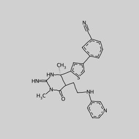 CN1C(=N)N[C@@](C)(c2cc(-c3cccc(C#N)c3)cs2)C(CCNc2cccnc2)C1=O